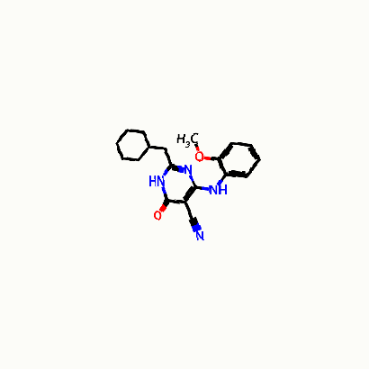 COc1ccccc1Nc1nc(CC2CCCCC2)[nH]c(=O)c1C#N